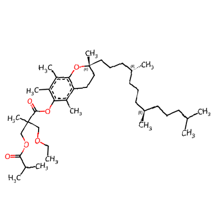 CCOCC(C)(COC(=O)C(C)C)C(=O)Oc1c(C)c(C)c2c(c1C)CC[C@@](C)(CCC[C@H](C)CCC[C@H](C)CCCC(C)C)O2